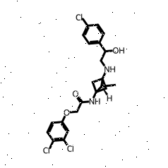 C[C@H]1C2(NCC(O)c3ccc(Cl)cc3)CC1(NC(=O)COc1ccc(Cl)c(Cl)c1)C2